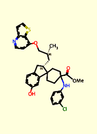 COC(=O)C1(Nc2cccc(Cl)c2)CCC2(CC1)c1cc(O)ccc1C[C@@H]2C[C@@H](C)COc1ccnc2ccsc12